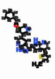 Cc1ccc(-c2ccnc3[nH]c(-c4n[nH]c5ncc(-c6cncc(OCc7ccccc7)c6)cc45)cc23)s1